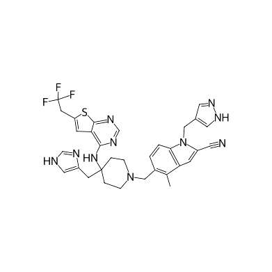 Cc1c(CN2CCC(Cc3c[nH]cn3)(Nc3ncnc4sc(CC(F)(F)F)cc34)CC2)ccc2c1cc(C#N)n2Cc1cn[nH]c1